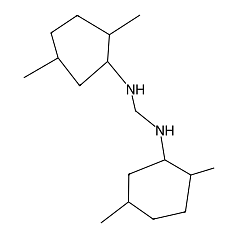 CC1CCC(C)C(NCNC2CC(C)CCC2C)C1